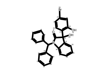 O=C1N(C(c2ccccc2)c2ccccc2)c2ccccc2C1(O)c1ccc(Br)cc1O